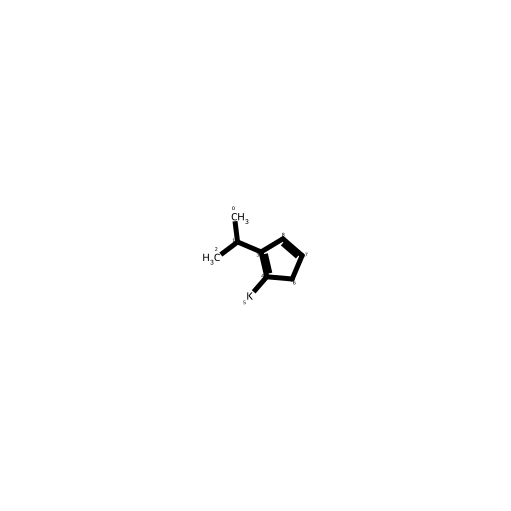 CC(C)C1=[C]([K])CC=C1